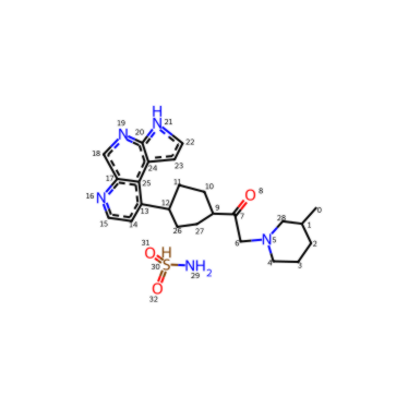 CC1CCCN(CC(=O)C2CCC(c3ccnc4cnc5[nH]ccc5c34)CC2)C1.N[SH](=O)=O